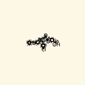 O=C(O)c1ccc(CN2C(=O)SC(=Cc3cc4cc(OCc5ccccc5)ccc4n3Cc3ccc(Cl)cc3)C2=O)cc1